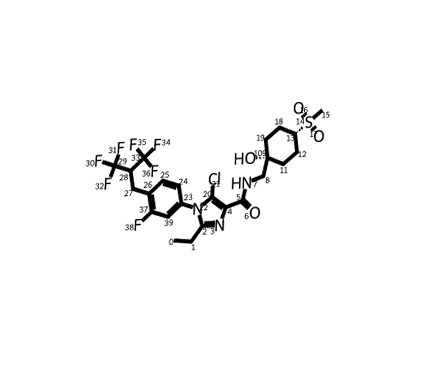 CCc1nc(C(=O)NC[C@]2(O)CC[C@@H](S(C)(=O)=O)CC2)c(Cl)n1-c1ccc(CC(C(F)(F)F)C(F)(F)F)c(F)c1